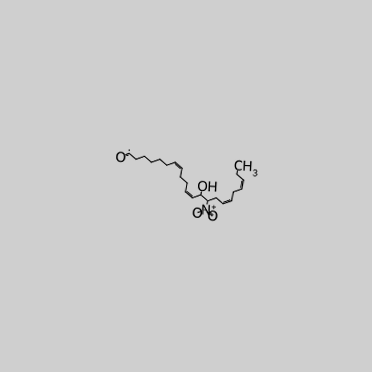 CC/C=C\C/C=C\CC(C(O)/C=C\CC/C=C\CCCCC[C]=O)[N+](=O)[O-]